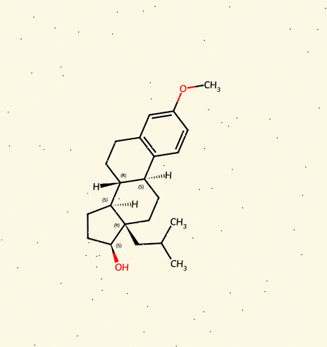 COc1ccc2c(c1)CC[C@@H]1[C@@H]2CC[C@]2(CC(C)C)[C@@H](O)CC[C@@H]12